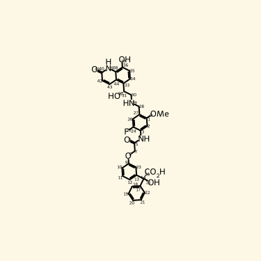 COc1cc(NC(=O)COc2cccc([C@](O)(C(=O)O)c3ccccc3)c2)c(F)cc1CNC[C@H](O)c1ccc(O)c2[nH]c(=O)ccc12